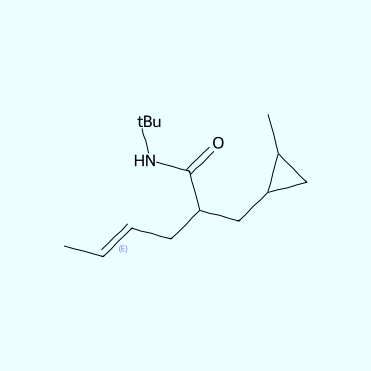 C/C=C/CC(CC1CC1C)C(=O)NC(C)(C)C